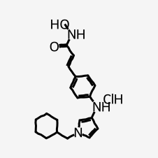 Cl.O=C(C=Cc1ccc(Nc2ccn(CC3CCCCC3)c2)cc1)NO